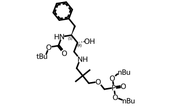 CCCCOP(=O)(COCC(C)(C)CNC[C@@H](O)[C@H](Cc1ccccc1)NC(=O)OC(C)(C)C)OCCCC